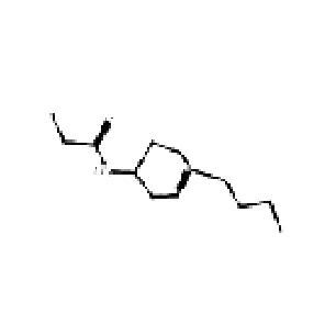 CCCCC1=CCC(NC(=O)CC)CC1